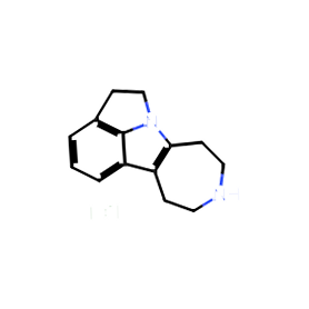 Cl.c1cc2c3c(c1)c1c(n3CC2)CCNCC1